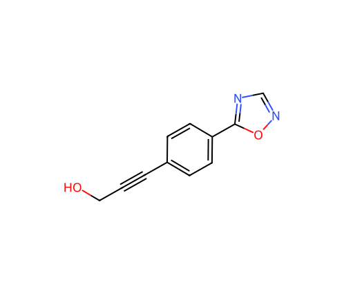 OCC#Cc1ccc(-c2ncno2)cc1